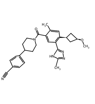 CO[C@H]1C[C@@H](c2cc(C)c(C(=O)N3CCC(c4ccc(C#N)cc4)CC3)cc2-c2nnc(C)[nH]2)C1